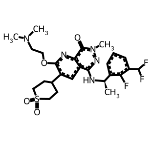 C[C@@H](Nc1nn(C)c(=O)c2nc(OCCN(C)C)c(C3CCS(=O)(=O)CC3)cc12)c1cccc(C(F)F)c1F